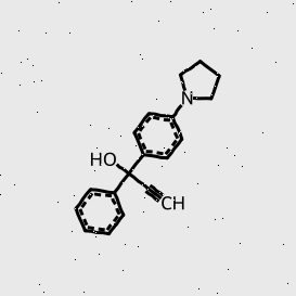 C#CC(O)(c1ccccc1)c1ccc(N2CCCC2)cc1